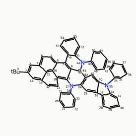 CC(C)(C)c1cc2ccc3c4c5c(c6ccc(c1)c2c36)N(c1ccccc1)c1cc2c3ccccc3n(-c3ccccc3)c2cc1B5N(c1ccccc1)c1ccccc1-4